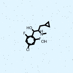 CNC(CC1CC1)C(O)c1c(F)cc(Cl)cc1F.Cl